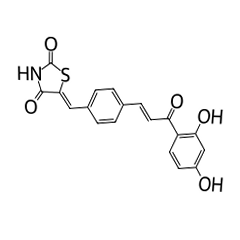 O=C1NC(=O)/C(=C/c2ccc(/C=C/C(=O)c3ccc(O)cc3O)cc2)S1